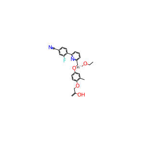 C=C(O)COc1ccc(O[C@@H](COCC)c2cccc(-c3ccc(C#N)cc3F)n2)cc1C